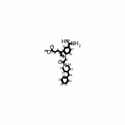 COC(=O)CCc1cn(CC(=O)N2CCC(Cc3ccccc3)CC2)c2ccc(C(=N)N)cc12